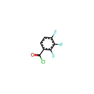 O=C(Cl)c1ccc(F)c(F)c1F